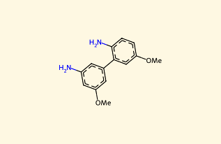 COc1cc(N)cc(-c2cc(OC)ccc2N)c1